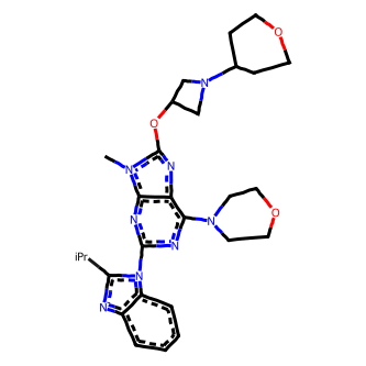 CC(C)c1nc2ccccc2n1-c1nc(N2CCOCC2)c2nc(OC3CN(C4CCOCC4)C3)n(C)c2n1